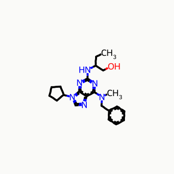 CCC(CO)Nc1nc(N(C)Cc2ccccc2)c2ncn(C3CCCC3)c2n1